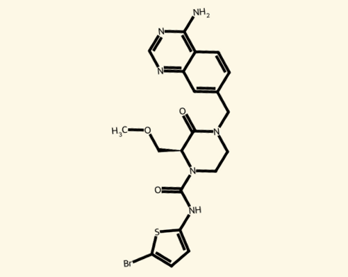 COC[C@H]1C(=O)N(Cc2ccc3c(N)ncnc3c2)CCN1C(=O)Nc1ccc(Br)s1